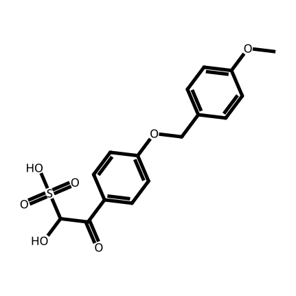 COc1ccc(COc2ccc(C(=O)C(O)S(=O)(=O)O)cc2)cc1